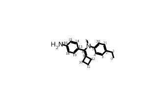 CCc1ccc(N(C)C(=C2CCC2)c2ccc(N)cc2)cc1